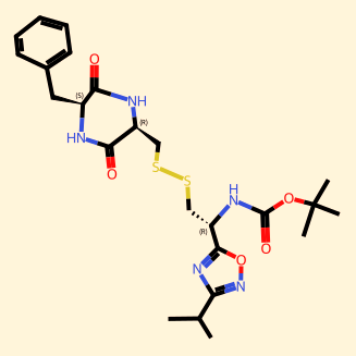 CC(C)c1noc([C@H](CSSC[C@@H]2NC(=O)[C@H](Cc3ccccc3)NC2=O)NC(=O)OC(C)(C)C)n1